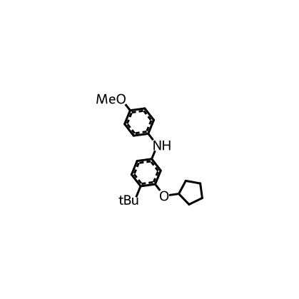 COc1ccc(Nc2ccc(C(C)(C)C)c(OC3CCCC3)c2)cc1